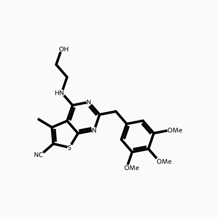 COc1cc(Cc2nc(NCCO)c3c(C)c(C#N)sc3n2)cc(OC)c1OC